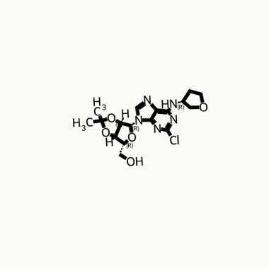 CC1(C)O[C@@H]2[C@H](O1)[C@@H](CO)O[C@H]2n1cnc2c(N[C@@H]3CCOC3)nc(Cl)nc21